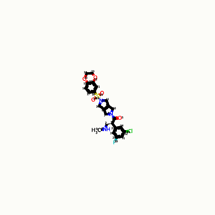 CNC[C@H](C(=O)N1CC2=C(C1)CN(S(=O)(=O)c1ccc3c(c1)OCCO3)C2)c1cc(F)cc(Cl)c1